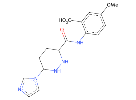 COc1ccc(NC(=O)C2CCC(n3ccnc3)NN2)c(C(=O)O)c1